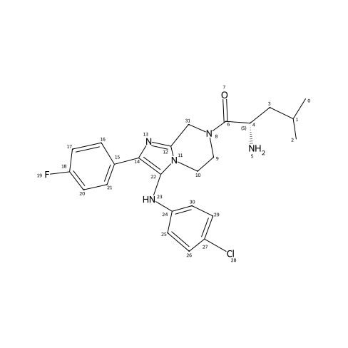 CC(C)C[C@H](N)C(=O)N1CCn2c(nc(-c3ccc(F)cc3)c2Nc2ccc(Cl)cc2)C1